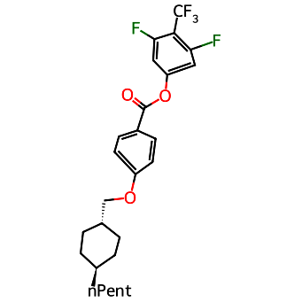 CCCCC[C@H]1CC[C@H](COc2ccc(C(=O)Oc3cc(F)c(C(F)(F)F)c(F)c3)cc2)CC1